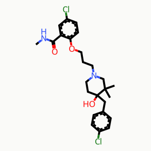 CNC(=O)c1cc(Cl)ccc1OCCCN1CCC(O)(Cc2ccc(Cl)cc2)C(C)(C)C1